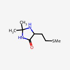 CSCCC1NC(C)(C)NC1=O